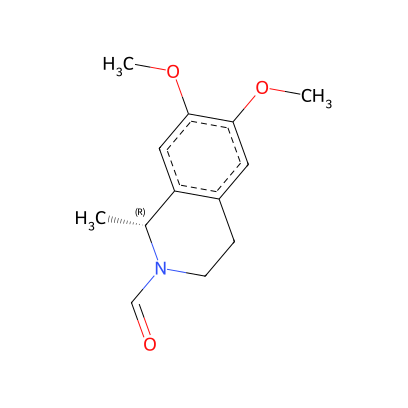 COc1cc2c(cc1OC)[C@@H](C)N(C=O)CC2